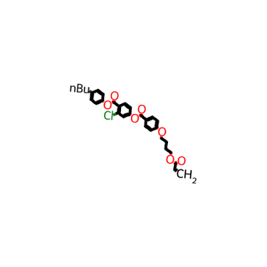 C=CC(=O)OCCCCOc1ccc(C(=O)Oc2ccc(C(=O)Oc3ccc(CCCC)cc3)c(Cl)c2)cc1